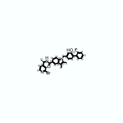 Cc1c(C)n(Cc2ccc(-c3ccccc3C(=O)O)cc2)c2ccc(C(=O)N[C@H](C)c3ccnc(Br)c3)cc12